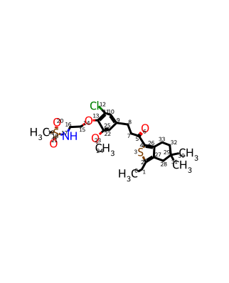 CCc1sc(C(=O)CCc2cc(Cl)c(OCCNS(C)(=O)=O)c(OC)c2)c2c1CC(C)(C)CC2